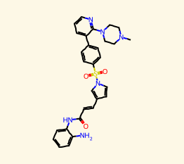 CN1CCN(c2ncccc2-c2ccc(S(=O)(=O)n3ccc(C=CC(=O)Nc4ccccc4N)c3)cc2)CC1